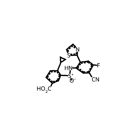 N#Cc1cc(N[S+]([O-])c2cc(C(=O)O)ccc2C2CC2)c(-c2nccs2)cc1F